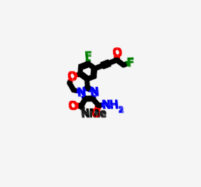 CNC(=O)c1c(C(N)=O)nc2n1CCOc1cc(F)c(C#CC(=O)CF)cc1-2